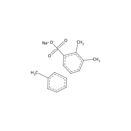 Cc1cccc(S(=O)(=O)[O-])c1C.Cc1ccccc1.[Na+]